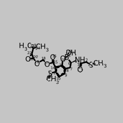 CSCC(=O)N[C@H]1Cc2ccc(SC)c(C(=O)OCOC3OC3C(C)C)c2OB1O